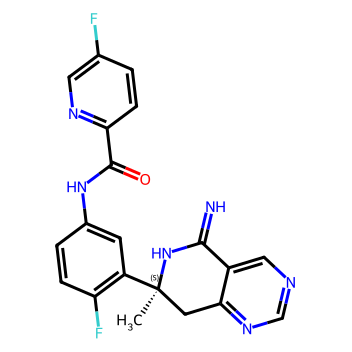 C[C@@]1(c2cc(NC(=O)c3ccc(F)cn3)ccc2F)Cc2ncncc2C(=N)N1